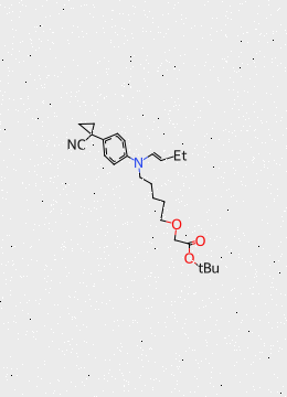 CC/C=C/N(CCCCCOCC(=O)OC(C)(C)C)c1ccc(C2(C#N)CC2)cc1